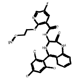 CC(C)OCCOc1ncc(F)cc1C(=O)NC1NC(c2c(Cl)cc(Cl)cc2Cl)=C2CC=CC=C2NC1=O